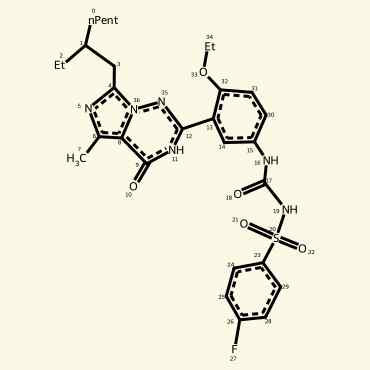 CCCCCC(CC)Cc1nc(C)c2c(=O)[nH]c(-c3cc(NC(=O)NS(=O)(=O)c4ccc(F)cc4)ccc3OCC)nn12